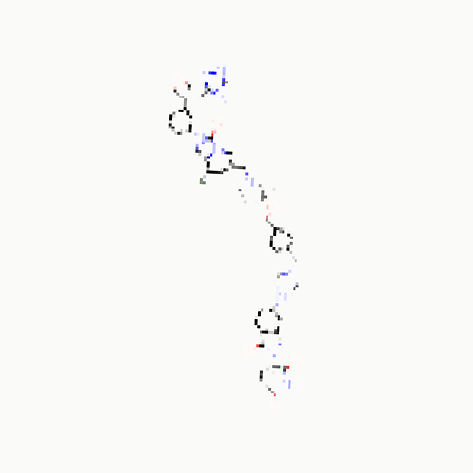 Cn1cnnc1CC1(c2cccc(-n3cc4c(C(F)(F)F)cc(CN5CCC[C@@](C)(OCc6ccc(CN7CCN(c8ccc9c(c8)CN([C@@H]8CCC(=O)NC8=O)C9=O)CC7)cc6)C5)cn4c3=O)c2)COC1